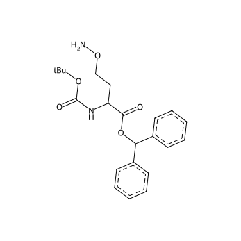 CC(C)(C)OC(=O)NC(CCON)C(=O)OC(c1ccccc1)c1ccccc1